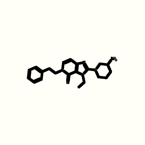 CCn1c(N2CCCC(N)C2)nc2ccn(CCc3ccccc3)c(=O)c21